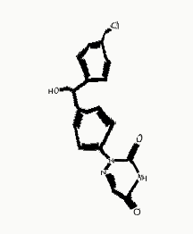 O=c1cnn(-c2ccc(C(O)c3ccc(Cl)cc3)cc2)c(=O)[nH]1